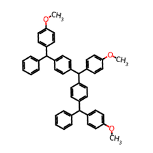 COc1ccc(C(c2ccccc2)c2ccc(C(c3ccc(OC)cc3)c3ccc(C(c4ccccc4)c4ccc(OC)cc4)cc3)cc2)cc1